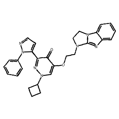 O=c1c(OCCN2CCn3c2nc2ccccc23)cn(C2CCC2)nc1-c1ccnn1-c1ccccc1